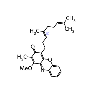 COc1c2nc3ccccc3oc-2c(CC/C=C(\C)CCC=C(C)C)c(=O)c1C